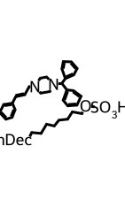 C(=Cc1ccccc1)CN1CCN(C(c2ccccc2)c2ccccc2)CC1.CCCCCCCCCCCCCCCCCCOS(=O)(=O)O